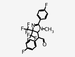 CN1C(c2ccc(F)cc2)=NC(C(F)(F)F)(C(F)(F)F)C1C(C=O)c1ccc(F)cc1